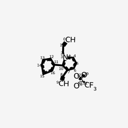 C#CC[n+]1cccc(C#C)c1-c1ccccc1.O=S(=O)([O-])C(F)(F)F